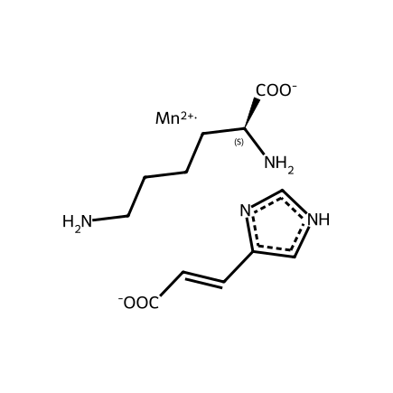 NCCCC[C@H](N)C(=O)[O-].O=C([O-])C=Cc1c[nH]cn1.[Mn+2]